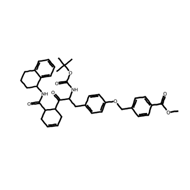 COC(=O)c1ccc(COc2ccc(CC(NC(=O)OC(C)(C)C)C(=O)C3CC=CCC3C(=O)NC3CCCc4ccccc43)cc2)cc1